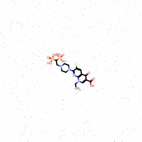 CCn1cc(C(=O)O)c(=O)c2cc(F)c(N3CCN(CC(P(=O)(O)O)P(=O)(O)O)CC3)nc21